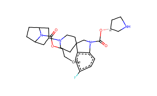 COCCOC(=O)N1C2CCC1CC(N1CCC3(CC1)CN(C(=O)O[C@@H]1CCNC1)c1ccc(F)cc13)C2